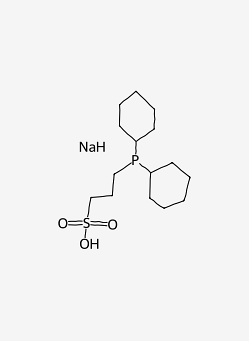 O=S(=O)(O)CCCP(C1CCCCC1)C1CCCCC1.[NaH]